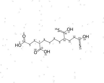 O=C(O)CCC(CCCCC(CCC(O)=S)C(O)=S)C(=O)O